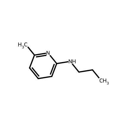 CCCNc1cccc(C)n1